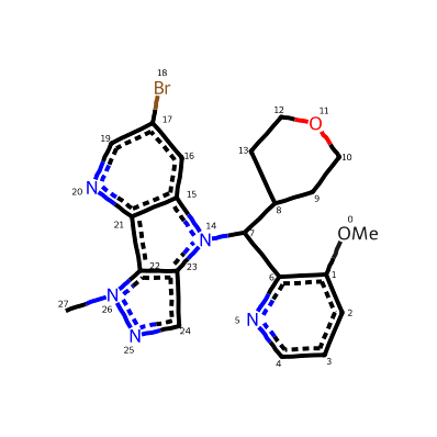 COc1cccnc1C(C1CCOCC1)n1c2cc(Br)cnc2c2c1cnn2C